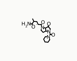 CC(C[CH]C(=O)N1CCC2C1C(=O)CN2C(=O)N1CCCCC1)C(N)=O